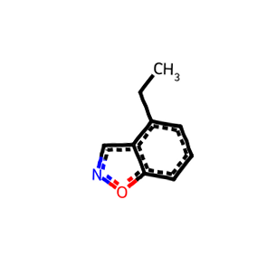 CCc1cccc2oncc12